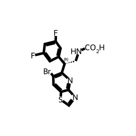 O=C(O)NC[C@@H](c1cc(F)cc(F)c1)c1nc2ncsc2cc1Br